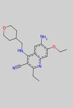 CCOc1cc2nc(CC)c(C#N)c(NCC3CCOCC3)c2cc1N